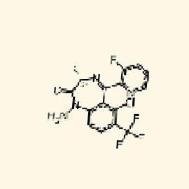 C[C@@H]1N=C(c2ncccc2F)c2c(ccc(C(F)(F)F)c2Cl)N(N)C1=O